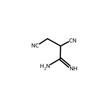 N#CCC(C#N)C(=N)N